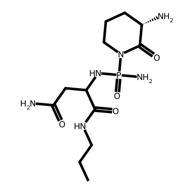 CCCNC(=O)C(CC(N)=O)NP(N)(=O)N1CCC[C@H](N)C1=O